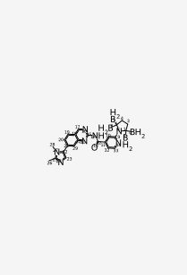 BC1(B)CCC(B)(B)N1c1cc(C(=O)Nc2ncc3ccc(-c4cnc(C)n4C)cc3n2)ccn1